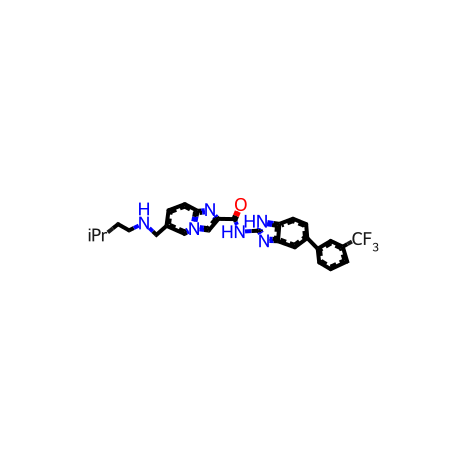 CC(C)CCNCc1ccc2nc(C(=O)Nc3nc4cc(-c5cccc(C(F)(F)F)c5)ccc4[nH]3)cn2c1